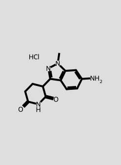 Cl.Cn1nc(C2CCC(=O)NC2=O)c2ccc(N)cc21